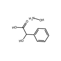 NO.O=C(O)C(O)c1ccccc1